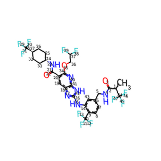 CC(C(=O)NCc1ccc(C(F)(F)F)c(Nc2nc3cc(C(=O)N[C@H]4CC[C@H](C(F)(F)F)CC4)c(OCC(F)F)nc3[nH]2)c1)C(F)(F)F